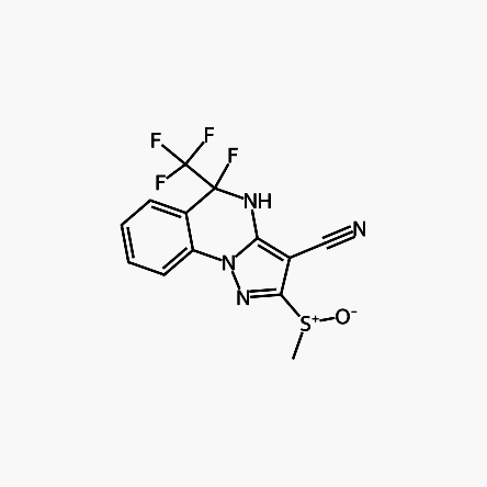 C[S+]([O-])c1nn2c(c1C#N)NC(F)(C(F)(F)F)c1ccccc1-2